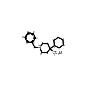 CCOC(=O)C1(C2CCCCC2)CCN(Cc2ccccc2)CC1